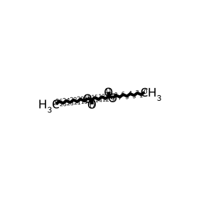 CCCCCCCCCOC(=O)CCCCC(=O)OCCCCCCCCC